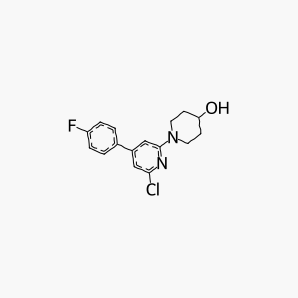 OC1CCN(c2cc(-c3ccc(F)cc3)cc(Cl)n2)CC1